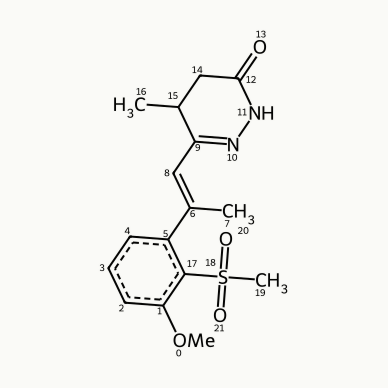 COc1cccc(C(C)=CC2=NNC(=O)CC2C)c1S(C)(=O)=O